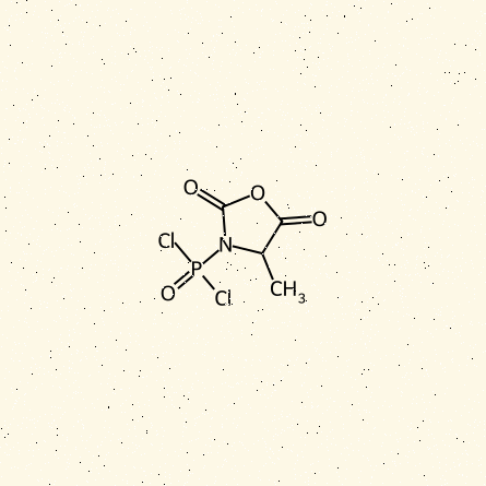 CC1C(=O)OC(=O)N1P(=O)(Cl)Cl